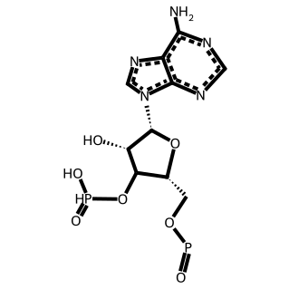 Nc1ncnc2c1ncn2[C@@H]1O[C@H](COP=O)C(O[PH](=O)O)[C@@H]1O